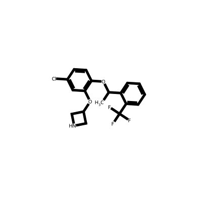 CC(Oc1ccc(Cl)cc1OC1CNC1)c1ccccc1C(F)(F)F